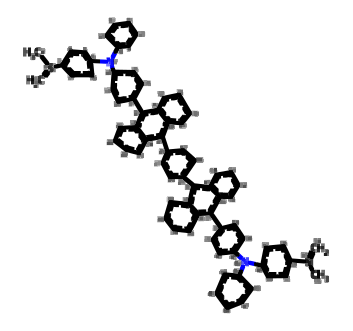 C=[Si](C)c1ccc(N(c2ccccc2)c2ccc(-c3c4ccccc4c(-c4ccc(-c5c6ccccc6c(-c6ccc(N(c7ccccc7)c7ccc([Si](=C)C)cc7)cc6)c6ccccc56)cc4)c4ccccc34)cc2)cc1